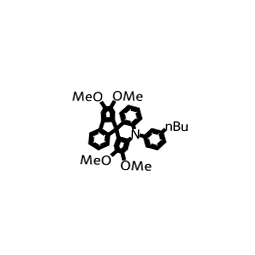 CCCCc1cccc(N2c3ccccc3C3(c4ccccc4-c4cc(OC)c(OC)cc43)c3cc(OC)c(OC)cc32)c1